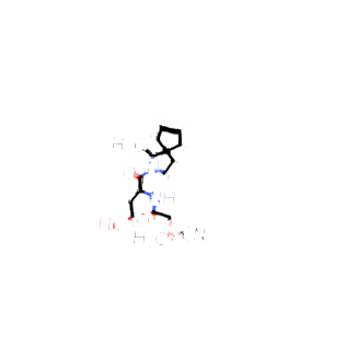 CB(C#N)CC(=O)NC(CCO)C(=O)N1CCC2(CC=CC2)C1C